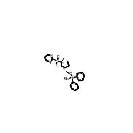 C=C[C@H](CO[Si](c1ccccc1)(c1ccccc1)C(C)(C)C)C[C@H](C)S(=O)(=O)c1ncccn1